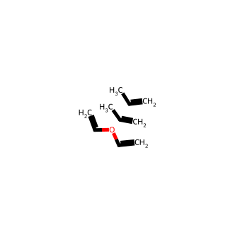 C=CC.C=CC.C=COC=C